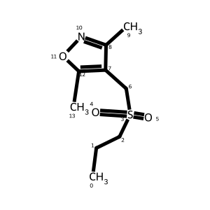 CCCS(=O)(=O)Cc1c(C)noc1C